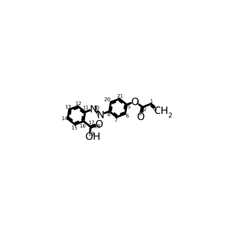 C=CC(=O)Oc1ccc(N=Nc2ccccc2C(=O)O)cc1